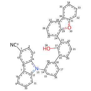 N#Cc1ccc2c(c1)c1ccccc1n2-c1cccc(-c2cccc(-c3cccc4c3oc3ccccc34)c2O)c1